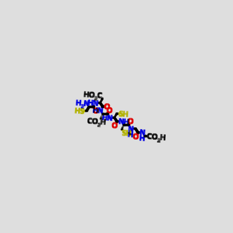 N[C@@H](CS)C(=O)N[C@@H](CC(=O)O)C(=O)N[C@@H](CC(=O)O)C(=O)N[C@@H](CS)C(=O)N[C@@H](CS)C(=O)NCC(=O)NCC(=O)O